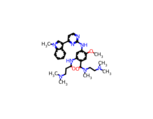 COc1cc(C(=O)N(C)CCN(C)C)c(NC(=O)CCN(C)C)cc1Nc1nccc(-c2cn(C)c3ccccc23)n1